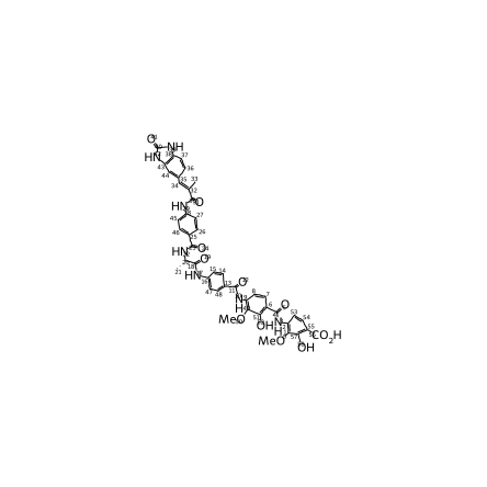 COc1c(NC(=O)c2ccc(NC(=O)c3ccc(NC(=O)[C@H](C)NC(=O)c4ccc(NC(=O)/C(C)=C/c5ccc6[nH]c(=O)[nH]c6c5)cc4)cc3)c(OC)c2O)ccc(C(=O)O)c1O